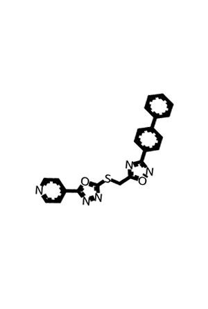 c1ccc(-c2ccc(-c3noc(CSc4nnc(-c5ccncc5)o4)n3)cc2)cc1